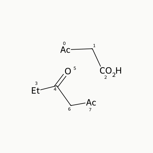 CC(=O)CC(=O)O.CCC(=O)CC(C)=O